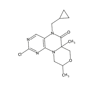 CC1CN2c3nc(Cl)ncc3N(CC3CC3)C(=O)C2(C)CO1